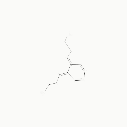 CC(C)(C)CCC=c1ccccc1=CCCC(C)(C)C